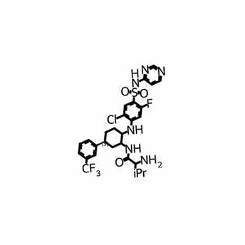 CC(C)C(N)C(=O)NC1C[C@@H](c2cccc(C(F)(F)F)c2)CCC1Nc1cc(F)c(S(=O)(=O)Nc2ccncn2)cc1Cl